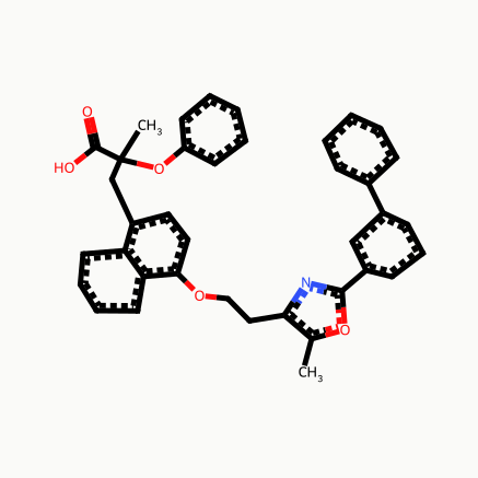 Cc1oc(-c2cccc(-c3ccccc3)c2)nc1CCOc1ccc(CC(C)(Oc2ccccc2)C(=O)O)c2ccccc12